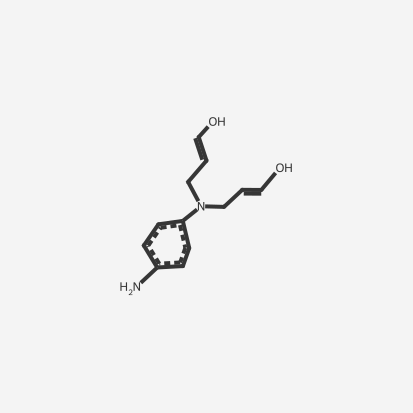 Nc1ccc(N(CC=CO)CC=CO)cc1